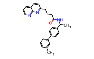 Cc1cccc(-c2ccc(C(C)NC(=O)CCCc3ccc4cccnc4n3)cc2)c1